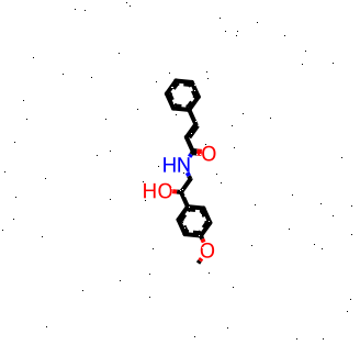 COc1ccc(C(O)CNC(=O)/C=C/c2ccccc2)cc1